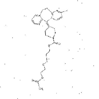 CC(=O)OCCSSCCOC(=O)N1CCC(=C2c3ccc(I)cc3CCc3cccnc32)CC1